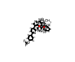 CS(=O)(=O)c1c([C@H]2C[C@H]3CC[C@@H](C2)N3C(=O)c2nnc[nH]2)nc2c(-c3ccc(-c4ccc(OC(F)F)cc4)nc3)cnn2c1N